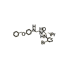 CC(C)C[C@H](Nc1cscc1Br)C(=O)NCCNc1ccc(OCc2ccccc2)cc1